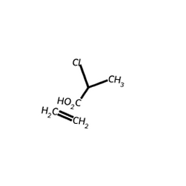 C=C.CC(Cl)C(=O)O